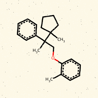 Cc1ccccc1OCC(C)(c1ccccc1)C1(C)CCCC1